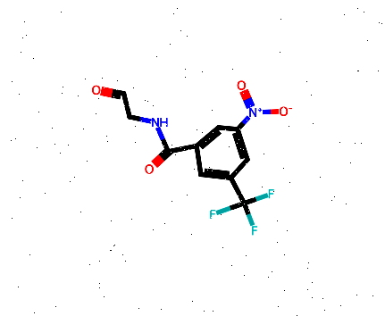 O=CCNC(=O)c1cc([N+](=O)[O-])cc(C(F)(F)F)c1